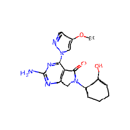 CCOc1cnn(-c2nc(N)nc3c2C(=O)N(C2CCCCC2O)C3)c1